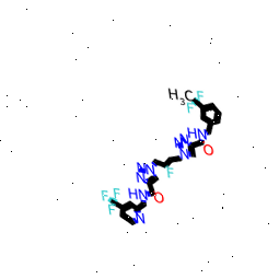 CC(F)(F)c1cccc(CNC(=O)c2cn(CCC(F)Cn3cc(C(=O)NCc4cc(C(F)(F)F)ccn4)nn3)nn2)c1